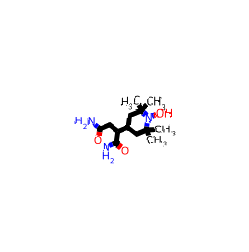 CC1(C)CC(C(CC(N)=O)C(N)=O)CC(C)(C)N1O